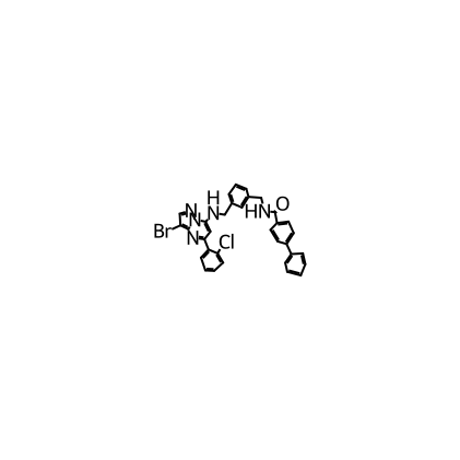 O=C(NCc1cccc(CNc2cc(-c3ccccc3Cl)nc3c(Br)cnn23)c1)c1ccc(-c2ccccc2)cc1